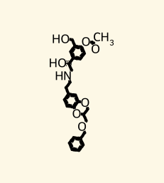 CC(=O)Oc1ccc([C@@H](O)CNCCc2ccc3c(c2)OCC(COCc2ccccc2)O3)cc1CO